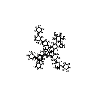 N#Cc1cc(-n2c3ccc(-c4ccnc(-c5ccccc5)c4)cc3c3cc(-c4ccnc(-c5ccccc5)c4)ccc32)c(-n2c3ccc(-c4ccnc(-c5ccccc5)c4)cc3c3cc(-c4ccnc(-c5ccccc5)c4)ccc32)cc1-c1c(F)c(F)c(F)c(F)c1F